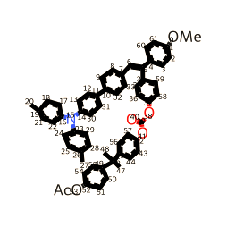 COc1ccc(C(=Cc2ccc(-c3ccc(N(c4ccc(C)cc4)c4ccc(C)cc4)cc3)cc2)c2ccc(OC(=O)Oc3ccc(C(C)(C)c4ccc(OC(C)=O)cc4)cc3)cc2)cc1